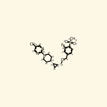 CS(=O)(=O)c1ccc(COC[C@@H]2C[C@@H]2C2CCN(c3ncc(Cl)cn3)CC2)cc1F